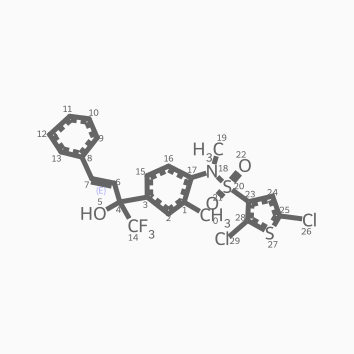 Cc1cc(C(O)(/C=C/c2ccccc2)C(F)(F)F)ccc1N(C)S(=O)(=O)c1cc(Cl)sc1Cl